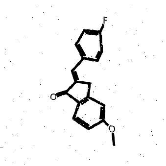 COc1ccc2c(c1)CC(=Cc1ccc(F)cc1)C2=O